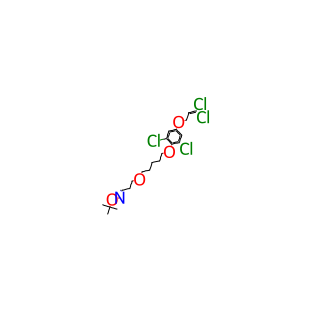 CC(C)(C)O/N=C/CCOCCCCCOc1c(Cl)cc(OCC=C(Cl)Cl)cc1Cl